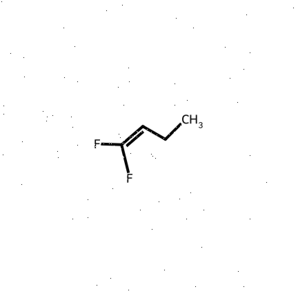 CCC=C(F)F